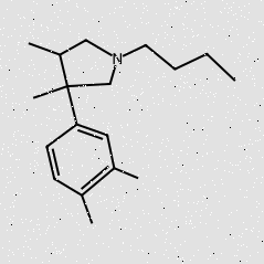 CCCCN1CC(C)C(C)(c2ccc(C)c(C)c2)C1